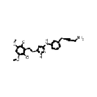 COc1cc(OC)c(Cl)c(CCc2cc(Nc3cccc(CC#CCN)c3)n[nH]2)c1Cl